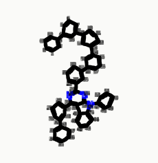 c1ccc(-c2cccc(-c3cccc(-c4cccc(-c5cccc(-c6nc(-c7cccc(-c8ccccc8)c7)c7c8ccccc8n(-c8ccccc8)c7n6)c5)c4)c3)c2)cc1